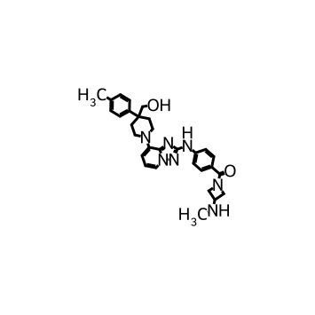 CNC1CN(C(=O)c2ccc(Nc3nc4c(N5CCC(CO)(c6ccc(C)cc6)CC5)cccn4n3)cc2)C1